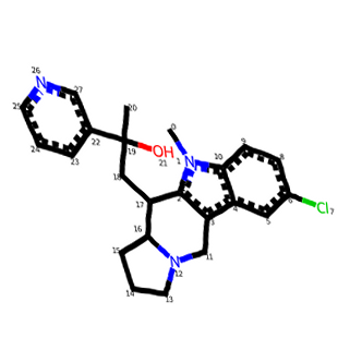 Cn1c2c(c3cc(Cl)ccc31)CN1CCCC1C2CC(C)(O)c1cccnc1